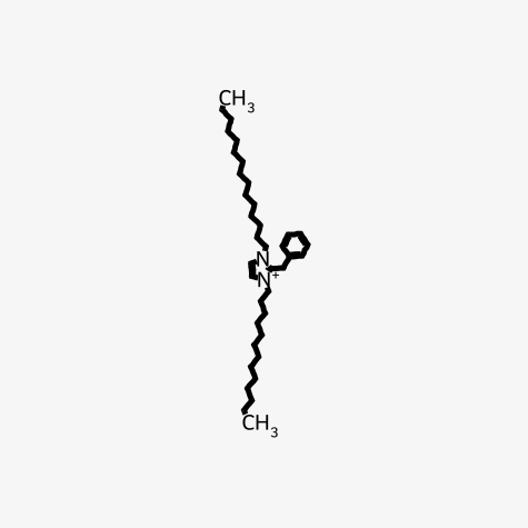 CCCCCCCCCCCCCCCn1cc[n+](CCCCCCCCCCCCC)c1Cc1ccccc1